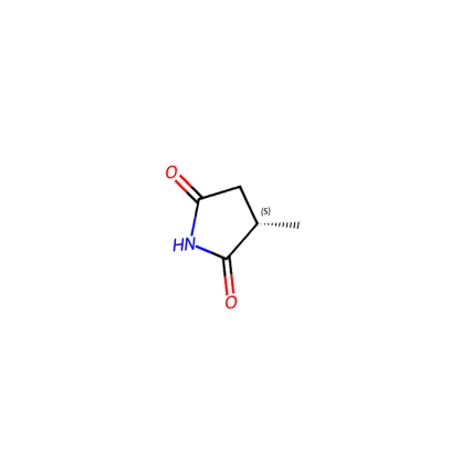 C[C@H]1CC(=O)NC1=O